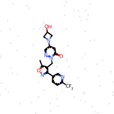 Cc1onc(-c2ccc(C(F)(F)F)nc2)c1Cn1ncc(N2CC(O)C2)cc1=O